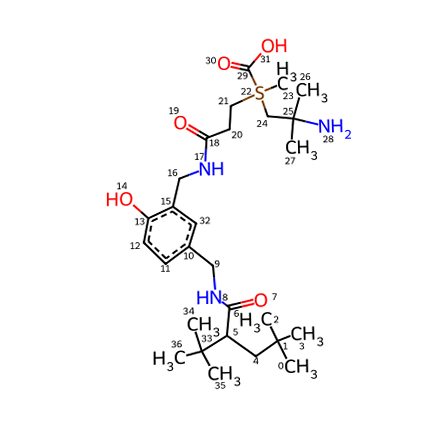 CC(C)(C)CC(C(=O)NCc1ccc(O)c(CNC(=O)CCS(C)(CC(C)(C)N)C(=O)O)c1)C(C)(C)C